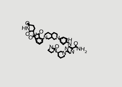 CN1CCN([C@@H]2CCCN(c3cnc(C(N)=O)c(Nc4ccc(N5CCC6CCN(c7cccc8c7C(=O)N(C7CCC(=O)NC7=O)C8=O)CC6C5)cc4)n3)C2)C1=O